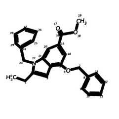 CCc1cc2c(OCc3ccccc3)cc(C(=O)OC)cc2n1Cc1ccccc1